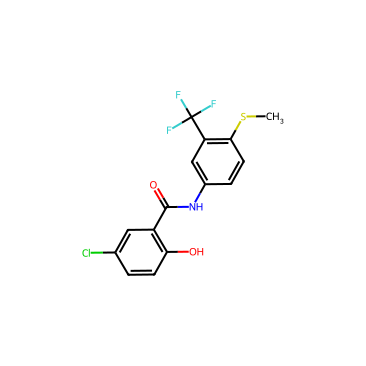 CSc1ccc(NC(=O)c2cc(Cl)ccc2O)cc1C(F)(F)F